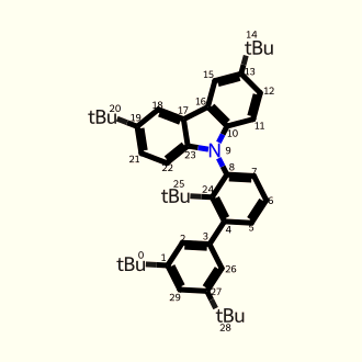 CC(C)(C)c1cc(-c2cccc(-n3c4ccc(C(C)(C)C)cc4c4cc(C(C)(C)C)ccc43)c2C(C)(C)C)cc(C(C)(C)C)c1